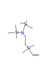 C=C[Si](C)(C)CCN([Si](C)(C)C)[Si](C)(C)C